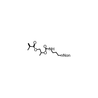 C=C(C)C(=O)OCC(C)OC(=O)NCCCCCCCCCCCC